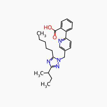 CCCCCc1nc(C(C)CC)nn1Cc1ccc(-c2ccccc2C(=O)O)nc1